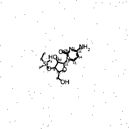 CC[Si](C)(C)OC1C(CO)OC(n2ccc(N)nc2=O)C1O